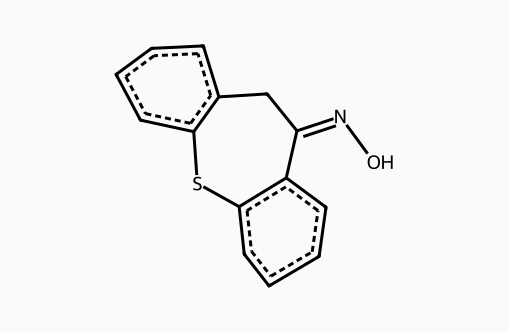 O/N=C1/Cc2ccccc2Sc2ccccc21